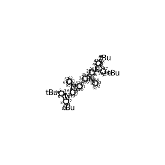 CC(C)(C)c1ccc2c(c1)c1cc(C(C)(C)C)ccc1n2-c1ccc2c3ccc(-c4ccc5c6ccc(-n7c8ccc(C(C)(C)C)cc8c8cc(C(C)(C)C)ccc87)cc6n(-c6ccccc6)c5c4)cc3n(-c3ccccc3)c2c1